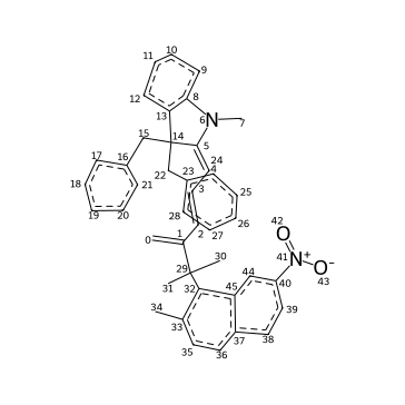 C=C(/C=C/C=C1/N(C)c2ccccc2C1(Cc1ccccc1)Cc1ccccc1)C(C)(C)c1c(C)ccc2ccc([N+](=O)[O-])cc12